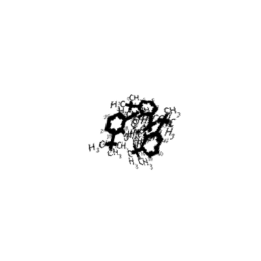 CC(C)(C)c1cccc(C(C)(C)C)c1[O][Hf]([CH3])([O]c1c(C(C)(C)C)cccc1C(C)(C)C)[O]c1c(C(C)(C)C)cccc1C(C)(C)C